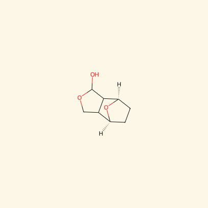 OC1OCC2C1[C@H]1CC[C@@H]2O1